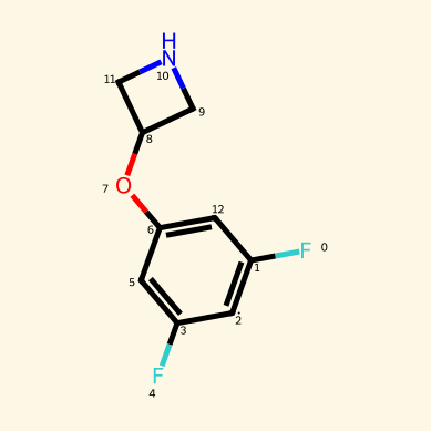 Fc1[c]c(F)cc(OC2CNC2)c1